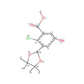 COC(=O)c1cc(O)cc(B2OC(C)(C)C(C)(C)O2)c1Cl